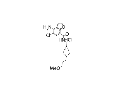 COCCCN1CC2C(CNC(=O)c3cc(Cl)c(N)c4ccoc34)C2C1.Cl